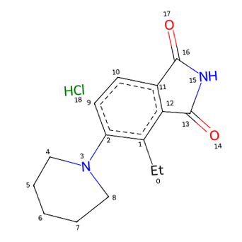 CCc1c(N2CCCCC2)ccc2c1C(=O)NC2=O.Cl